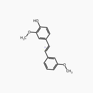 COc1cccc(/C=C/c2ccc(O)c(OC)c2)c1